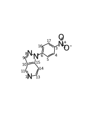 O=[N+]([O-])c1ccc(-n2ncc3cnccc32)cc1